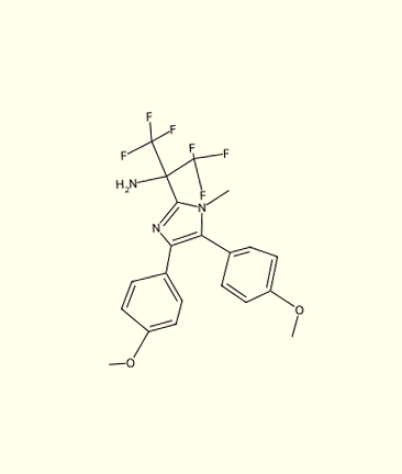 COc1ccc(-c2nc(C(N)(C(F)(F)F)C(F)(F)F)n(C)c2-c2ccc(OC)cc2)cc1